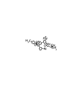 Cc1ccc(S(=O)(=O)n2cc(-c3cccc(C#N)c3)c3cc(-c4cc(NC(=O)/C=C/CN(C)C)cc(C(F)(F)F)c4)cnc32)cc1